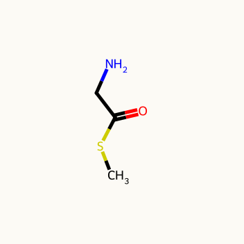 CSC(=O)CN